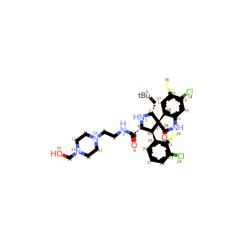 CC(C)(C)C[C@H]1N[C@@H](C(=O)NCCN2CCN(CO)CC2)[C@H](c2cccc(Cl)c2F)[C@@]12C(=O)Nc1cc(Cl)c(F)cc12